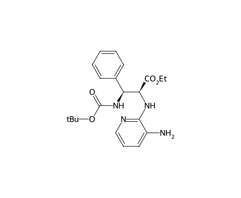 CCOC(=O)[C@@H](Nc1ncccc1N)[C@@H](NC(=O)OC(C)(C)C)c1ccccc1